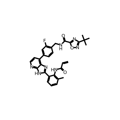 C=CC(=O)Nc1c(C)cccc1-c1nc2c(-c3ccc(CNC(=O)c4nc(C(C)(C)C)no4)c(F)c3)ccnc2[nH]1